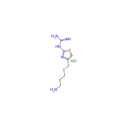 Cl.N=C(N)Nc1nc(CSCCCN)cs1